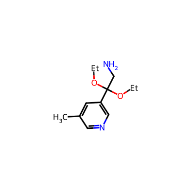 CCOC(CN)(OCC)c1cncc(C)c1